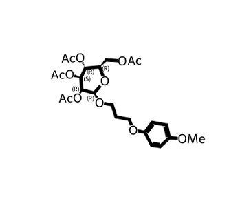 COc1ccc(OCCCO[C@@H]2O[C@H](COC(C)=O)[C@@H](OC(C)=O)[C@H](OC(C)=O)[C@H]2OC(C)=O)cc1